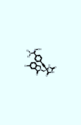 CCc1ccc2c(c1)C(=O)N(C[C@@]1(C#Cc3ccc(/C(=N\O)N(CC)CC)cc3)NC(=O)NC1=O)C2